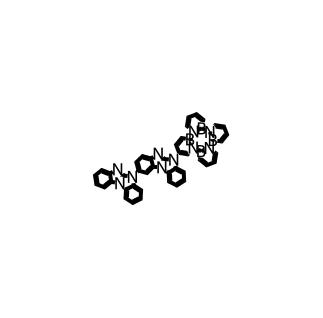 C1=CB2N(C=C1)B1C=CC=CN1B1C=CC(n3c4ccccc4n4c5cc(-n6c7ccccc7n7c8ccccc8nc67)ccc5nc34)=CN1B1C=CC=CN21